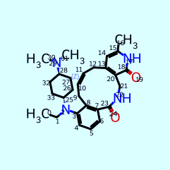 CCN(c1cccc2c1C/C=C\Cc1cc(C)[nH]c(=O)c1CNC2=O)[C@H]1CC[C@H](N(C)C)CC1